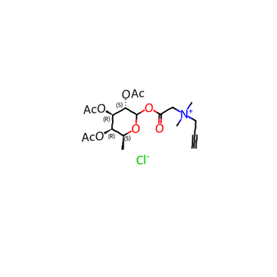 C#CC[N+](C)(C)CC(=O)OC1O[C@@H](C)[C@@H](OC(C)=O)[C@@H](OC(C)=O)[C@@H]1OC(C)=O.[Cl-]